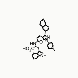 Cc1ccc(-n2cc(/C=C\C(=O)N[C@@H](Cc3c[nH]c4ccccc34)C(=O)O)c(-c3ccc4ccccc4c3)n2)cc1